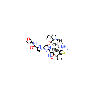 CCCCc1c(-c2nc(O[C@@H](C)[C@@H]3[C@@H](C)CCN3C)cc(-n3ccc(C(=O)N[C@@H]4CCOC4)n3)n2)noc1[C@H]1CCCc2sc(N)c(C#N)c21